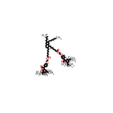 CCCCCCCC1CC2C(CCC(CCCCCCC(=O)OCCOc3ccc(C4C(=O)Oc5c4cc(C(C)(C)C)cc5C(C)(C)C)cc3)C2CCCCCCC(=O)OCCOc2ccc(C3C(=O)Oc4c3cc(C(C)(C)C)cc4C(C)(C)C)cc2)CC1CCCCC